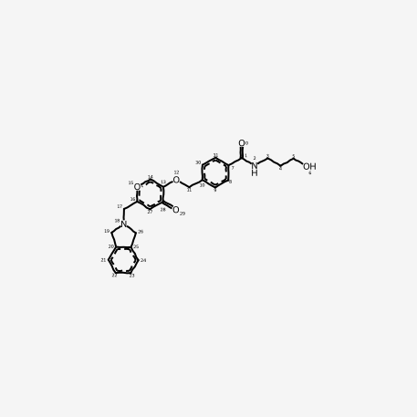 O=C(NCCCO)c1ccc(COc2coc(CN3Cc4ccccc4C3)cc2=O)cc1